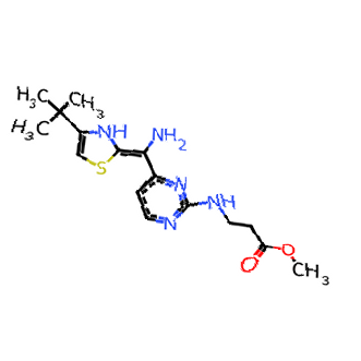 COC(=O)CCNc1nccc(/C(N)=C2/NC(C(C)(C)C)=CS2)n1